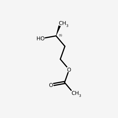 CC(=O)OCC[C@H](C)O